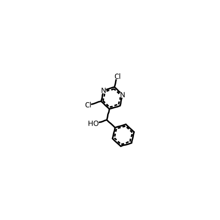 OC(c1ccccc1)c1cnc(Cl)nc1Cl